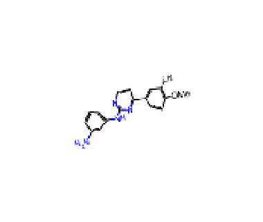 COc1ccc(-c2ccnc(Nc3cccc(N)c3)n2)cc1C#N